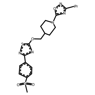 CC(C)c1noc(N2CCC(COc3nc(-c4ccc(S(C)(=O)=O)cc4)ns3)CC2)n1